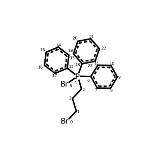 BrCCCP(Br)(c1ccccc1)(c1ccccc1)c1ccccc1